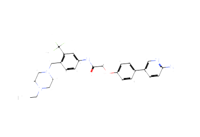 CCN1CCN(Cc2ccc(NC(=O)COc3ccc(-c4ccc(N)nc4)cc3)cc2C(F)(F)F)CC1